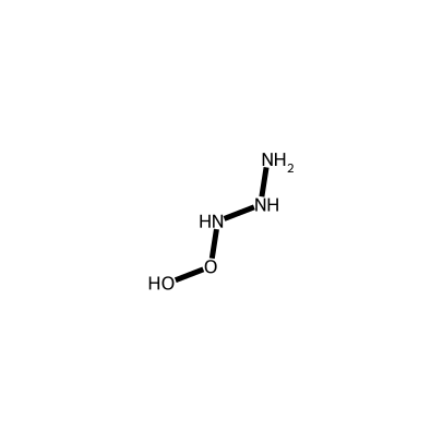 NNNOO